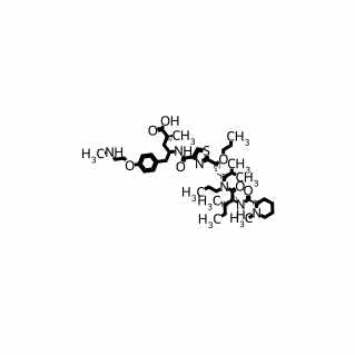 CCCO[C@H](C[C@H](C(C)C)N(CCC)C(=O)[C@@H](NC(=O)[C@H]1CCCCN1C)[C@@H](C)CC)c1nc(C(=O)NC(Cc2ccc(OCCNC)cc2)C[C@H](C)C(=O)O)cs1